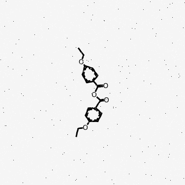 CCOc1ccc(C(=O)OC(=O)c2ccc(OCC)cc2)cc1